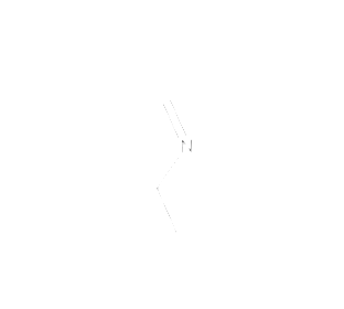 C=NCC